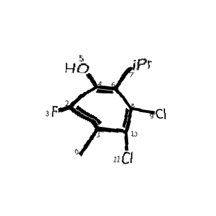 Cc1c(F)c(O)c(C(C)C)c(Cl)c1Cl